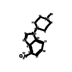 CN1CCN(n2[c]nc3c([N+](=O)[O-])cccc32)CC1